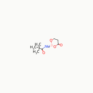 CC(C)(C)C(=O)NCB1OCCC(=O)O1